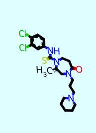 C[C@@H]1CN(CCCN2CCCCC2)C(=O)CCN1C(=S)Nc1ccc(Cl)c(Cl)c1